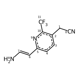 N#CCc1ccc(/C=C/N)nc1C(F)(F)F